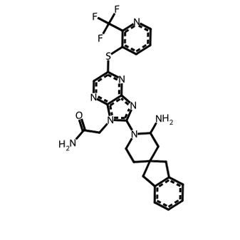 NC(=O)Cn1c(N2CCC3(Cc4ccccc4C3)CC2N)nc2nc(Sc3cccnc3C(F)(F)F)cnc21